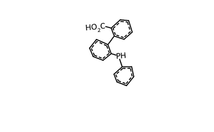 O=C(O)c1ccccc1-c1ccccc1Pc1ccccc1